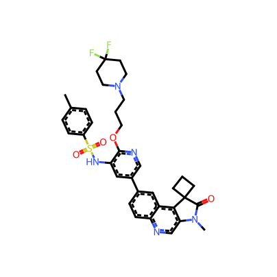 Cc1ccc(S(=O)(=O)Nc2cc(-c3ccc4ncc5c(c4c3)C3(CCC3)C(=O)N5C)cnc2OCCCN2CCC(F)(F)CC2)cc1